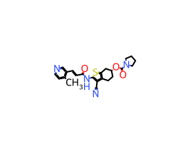 Cc1ccncc1C=CC(=O)Nc1sc2c(c1C#N)CCC(OC(=O)N1CCCC1)C2